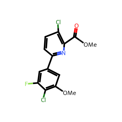 COC(=O)c1nc(-c2cc(F)c(Cl)c(OC)c2)ccc1Cl